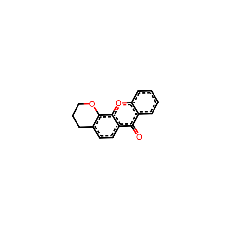 O=c1c2ccccc2oc2c3c(ccc12)CCCO3